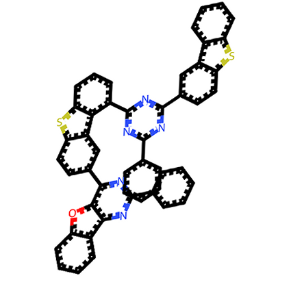 c1ccc(-c2nc(-c3ccc4sc5ccccc5c4c3)nc(-c3cccc4sc5ccc(-c6nc(-c7ccccc7)nc7c6oc6ccccc67)cc5c34)n2)cc1